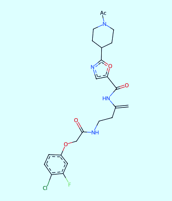 C=C(CCNC(=O)COc1ccc(Cl)c(F)c1)NC(=O)c1cnc(C2CCN(C(C)=O)CC2)o1